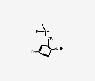 F[B-](F)(F)F.N#[N+]c1ccc(Br)cc1C(F)(F)F